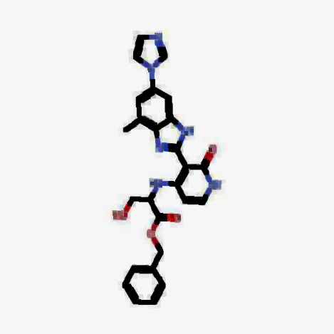 Cc1cc(-n2ccnc2)cc2[nH]c(-c3c(NC(CO)C(=O)OCc4ccccc4)cc[nH]c3=O)nc12